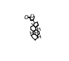 C[C@]12CC[C@@H]3[C@H]4CCCC[C@H]4CC[C@H]3C1=CC[C@@H]2C1=CC(=O)OC1